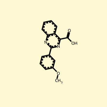 COc1cccc(-c2nc(C(=O)O)c3ccccc3n2)c1